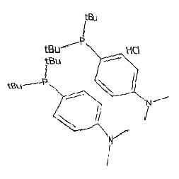 CN(C)c1ccc(P(C(C)(C)C)C(C)(C)C)cc1.CN(C)c1ccc(P(C(C)(C)C)C(C)(C)C)cc1.Cl